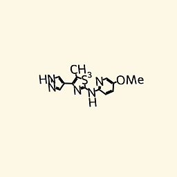 COc1ccc(Nc2nc(-c3cn[nH]c3)c(C)s2)nc1